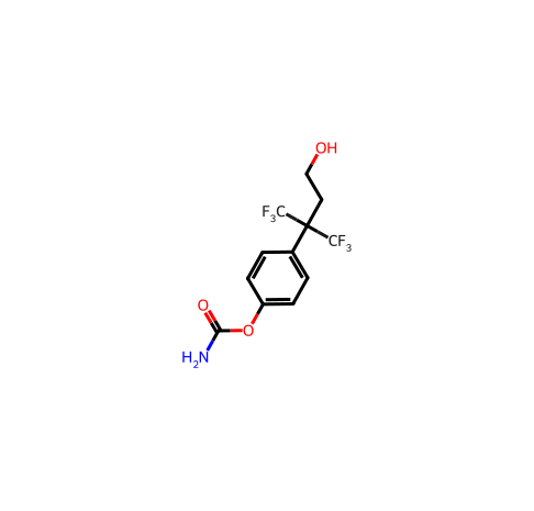 NC(=O)Oc1ccc(C(CCO)(C(F)(F)F)C(F)(F)F)cc1